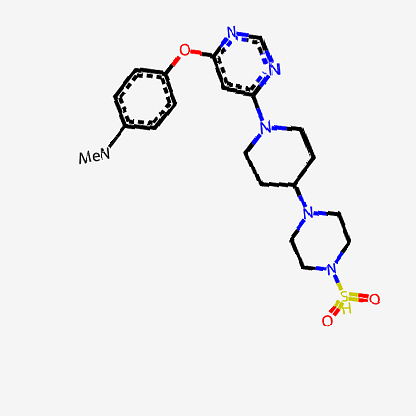 CNc1ccc(Oc2cc(N3CCC(N4CCN([SH](=O)=O)CC4)CC3)ncn2)cc1